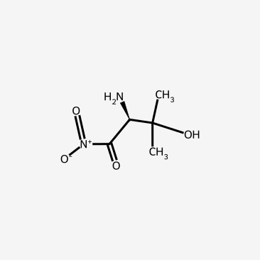 CC(C)(O)[C@H](N)C(=O)[N+](=O)[O-]